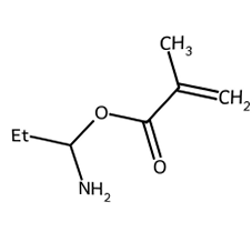 [CH2]CC(N)OC(=O)C(=C)C